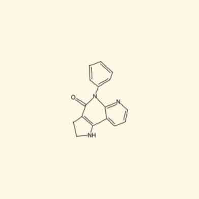 O=c1c2c(c3cccnc3n1-c1ccccc1)NCC2